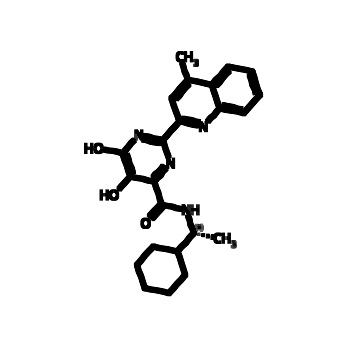 Cc1cc(-c2nc(O)c(O)c(C(=O)N[C@H](C)C3CCCCC3)n2)nc2ccccc12